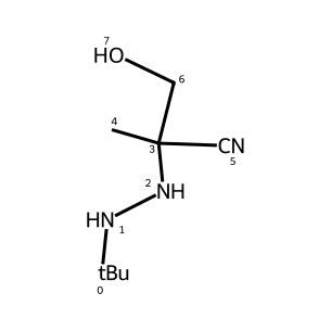 CC(C)(C)NNC(C)(C#N)CO